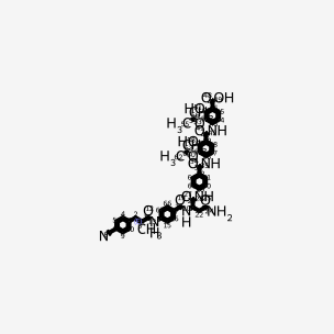 C/C(=C\c1ccc(C#N)cc1)C(=O)Nc1ccc(C(=O)NC(CC(N)=O)C(=O)Nc2ccc(C(=O)Nc3ccc(C(=O)Nc4ccc(C(=O)O)c(O)c4OC(C)C)c(O)c3OC(C)C)cc2)cc1